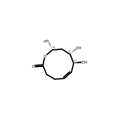 CCC[C@@H]1C[C@H](O)[C@@H](O)C=CCCC(=O)O1